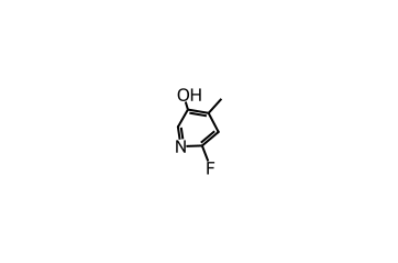 Cc1cc(F)ncc1O